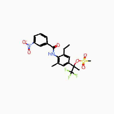 CCc1cc(C(C)(OS(C)(=O)=O)C(F)(F)F)cc(C)c1NC(=O)c1cccc([N+](=O)[O-])c1